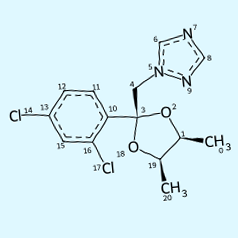 C[C@@H]1O[C@@](Cn2cncn2)(c2ccc(Cl)cc2Cl)O[C@@H]1C